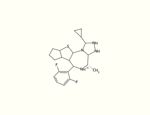 C[C@@H]1NC(c2c(F)cccc2F)C2C3CCCC3SC2N2C(C3CC3)NNC12